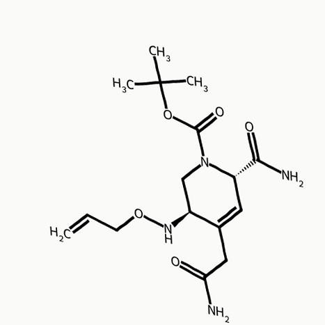 C=CCON[C@H]1CN(C(=O)OC(C)(C)C)[C@H](C(N)=O)C=C1CC(N)=O